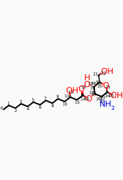 CCCCCCCCCCCC(O)CC(=O)O[C@H]1[C@H](O)[C@@H](CO)OC(O)[C@@H]1N